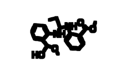 CCC(Nc1ccccc1C(=O)OC)Nc1ccccc1C(O)OC